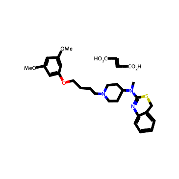 COc1cc(OC)cc(OCCCCN2CCC(N(C)C3=Nc4ccccc4CS3)CC2)c1.O=C(O)C=CC(=O)O